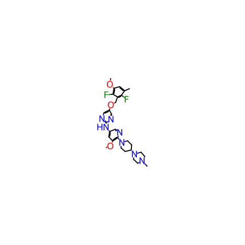 COc1cc(Nc2ncc(OCc3c(F)c(C)cc(OC)c3F)cn2)cnc1N1CCC(N2CCN(C)CC2)CC1